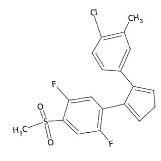 Cc1cc(C2=CCC=C2c2cc(F)c(S(C)(=O)=O)cc2F)ccc1Cl